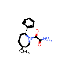 C[C@H]1CC[C@H](c2ccccc2)N(C(=O)C(N)=O)C1